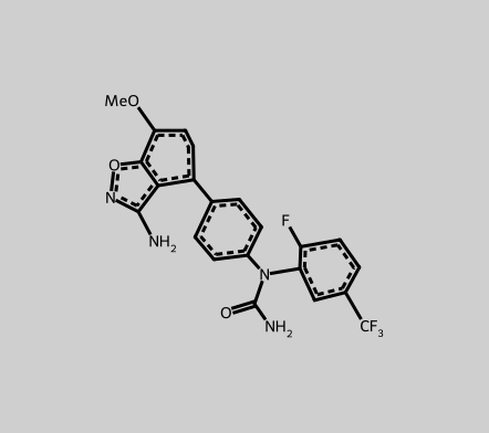 COc1ccc(-c2ccc(N(C(N)=O)c3cc(C(F)(F)F)ccc3F)cc2)c2c(N)noc12